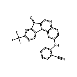 N#Cc1cnccc1Nc1ccc2ncc3c(c2c1)-c1cnc(C(F)(F)F)nc1C3=O